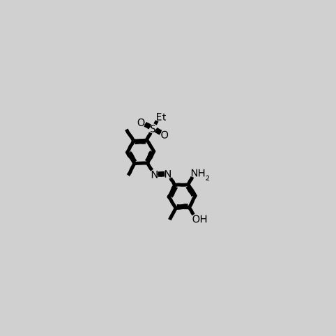 CCS(=O)(=O)c1cc(/N=N/c2cc(C)c(O)cc2N)c(C)cc1C